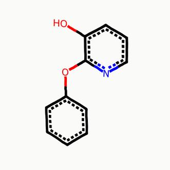 Oc1cccnc1Oc1ccccc1